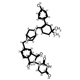 CC1(C)CCC(CN2CC3CC2CN3Cc2ccc3c(c2)C(=O)N(N2CCC(=O)NC2=O)C3=O)=C(c2ccc(Cl)cc2)C1